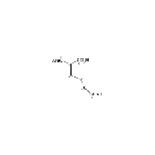 CCCCCCCCC(OC)C(=O)O